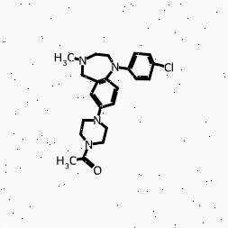 CC(=O)N1CCN(c2ccc3c(c2)CN(C)CCN3c2ccc(Cl)cc2)CC1